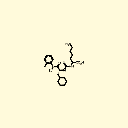 CCN(C(=O)[C@@H](CC1CCCCC1)NC(=O)NC(CCCCN)C(=O)O)c1ccccc1C